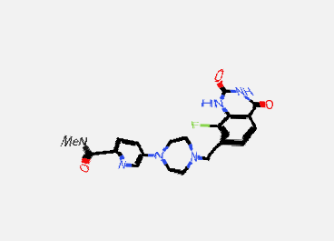 CNC(=O)c1ccc(N2CCN(Cc3ccc4c(=O)[nH]c(=O)[nH]c4c3F)CC2)cn1